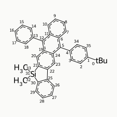 CC(C)(C)c1ccc(-c2c3ccccc3c(-c3ccccc3)c3cc4c(cc23)-c2ccccc2[Si]4(C)C)cc1